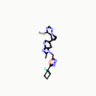 COc1ncnn2ccc(-c3cnc4nc(C)n(Cc5nnc(C6(F)CCC6)o5)c4c3)c12